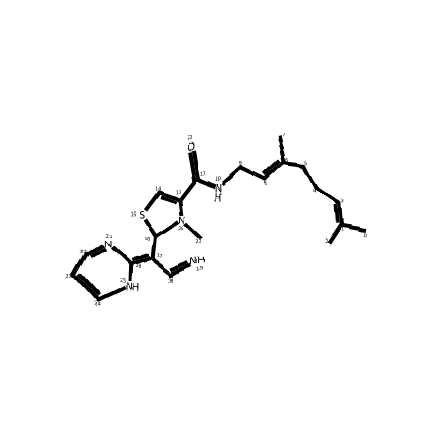 CC(C)=CCC/C(C)=C/CNC(=O)C1=CSC(/C(C=N)=C2\N=CC=CN2)N1C